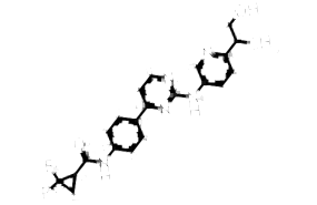 CC(CO)c1ccc(Nc2nccc(-c3ccc(NC(=O)C4CC4(F)F)cc3)n2)cn1